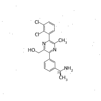 Cc1nc(-c2cccc([C@H](C)N)c2)c(CO)nc1-c1cccc(Cl)c1Cl